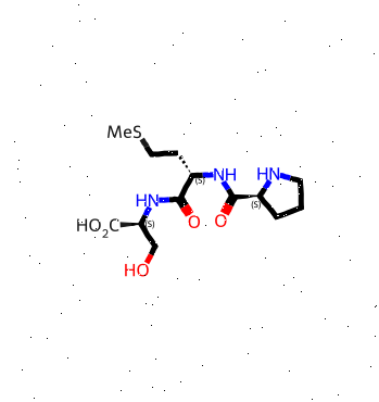 CSCC[C@H](NC(=O)[C@@H]1CCCN1)C(=O)N[C@@H](CO)C(=O)O